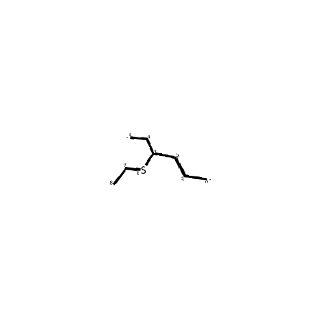 [CH2]CCC(C[CH2])SCC